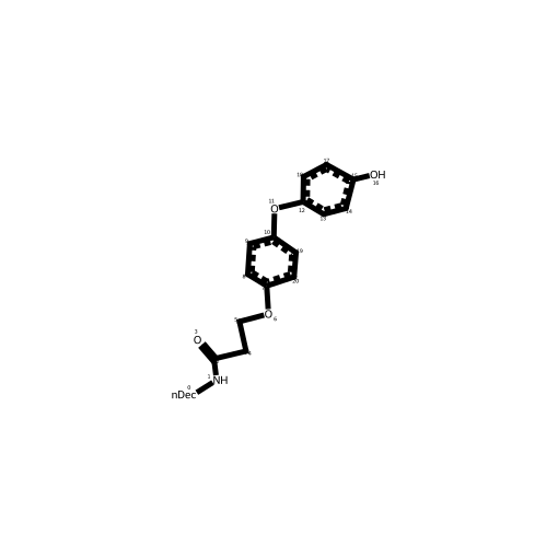 CCCCCCCCCCNC(=O)CCOc1ccc(Oc2ccc(O)cc2)cc1